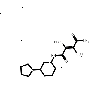 NC(=O)/C(C(=O)O)=C(\C(=O)O)C(=O)NC1CCCC(C2CCCC2)C1